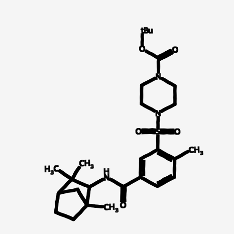 Cc1ccc(C(=O)NC2C3(C)CCC(C3)C2(C)C)cc1S(=O)(=O)N1CCN(C(=O)OC(C)(C)C)CC1